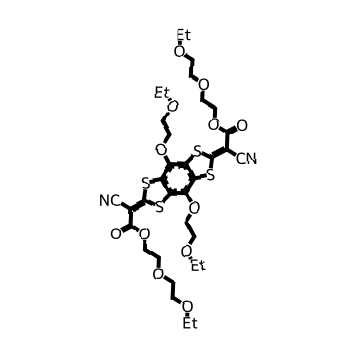 CCOCCOCCOC(=O)C(C#N)=C1Sc2c(OCCOCC)c3c(c(OCCOCC)c2S1)SC(=C(C#N)C(=O)OCCOCCOCC)S3